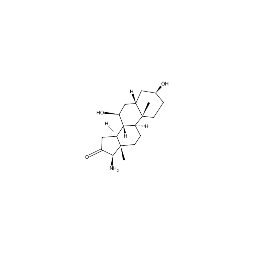 C[C@]12CC[C@H](O)C[C@H]1C[C@H](O)[C@@H]1[C@@H]2CC[C@]2(C)[C@@H](N)C(=O)C[C@@H]12